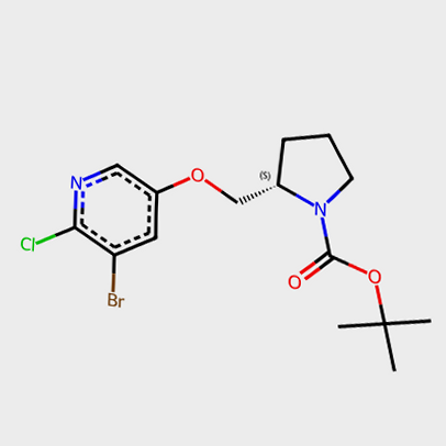 CC(C)(C)OC(=O)N1CCC[C@H]1COc1cnc(Cl)c(Br)c1